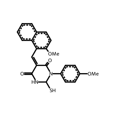 COc1ccc(N2C(=O)/C(=C\c3c(OC)ccc4ccccc34)C(=O)NC2S)cc1